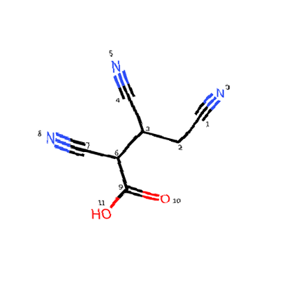 N#CCC(C#N)C(C#N)C(=O)O